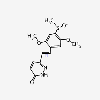 COc1cc([S+](C)[O-])c(OC)cc1/C=C/c1ccc(=O)[nH]n1